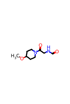 COC1CCN(C(=O)CNC=O)CC1